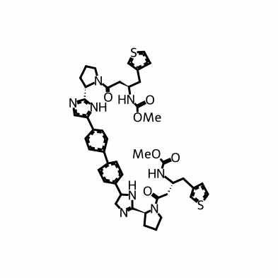 COC(=O)N[C@@H](CC(=O)N1CCC[C@H]1C1=NCC(c2ccc(-c3ccc(-c4cnc([C@@H]5CCCN5C(=O)C[C@@H](Cc5ccsc5)NC(=O)OC)[nH]4)cc3)cc2)N1)Cc1ccsc1